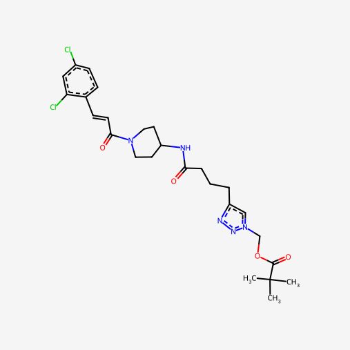 CC(C)(C)C(=O)OCn1cc(CCCC(=O)NC2CCN(C(=O)C=Cc3ccc(Cl)cc3Cl)CC2)nn1